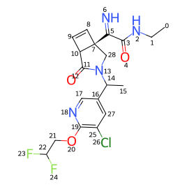 CCNC(=O)C(=N)[C@]12C=CC1C(=O)N(C(C)c1cnc(OCC(F)F)c(Cl)c1)C2